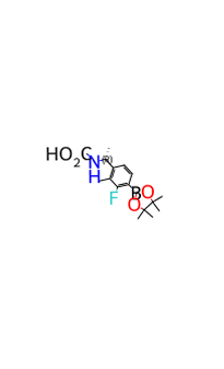 Cc1c([C@@H](C)NC(=O)O)ccc(B2OC(C)(C)C(C)(C)O2)c1F